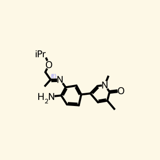 C/C(COC(C)C)=N\c1cc(-c2cc(C)c(=O)n(C)c2)ccc1N